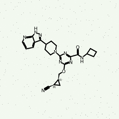 N#C[C@@H]1C[C@@H]1COc1nc(C(=O)NC2CCC2)nc(N2CCC(c3n[nH]c4ncccc34)CC2)n1